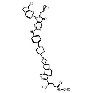 C=CCn1c(=O)c2cnc(Nc3ccc(N4CCC(N5CC6(Cc7ccc8c(C(C)CCC(=O)NC=O)noc8c7C6)C5)CC4)cc3)nc2n1-c1ccc2c(n1)C(CC)CC2